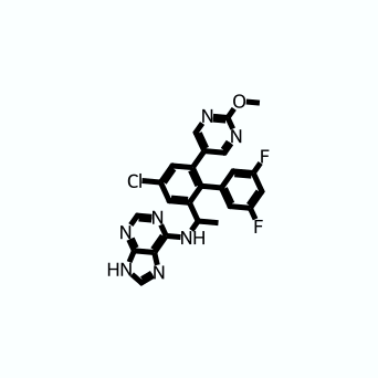 COc1ncc(-c2cc(Cl)cc(C(C)Nc3ncnc4[nH]cnc34)c2-c2cc(F)cc(F)c2)cn1